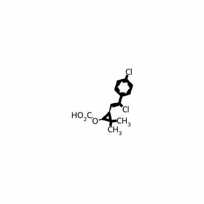 CC1(C)[C@H](C=C(Cl)c2ccc(Cl)cc2)[C@H]1OC(=O)O